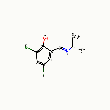 CC(C)[C@H](N=Cc1cc(Br)cc(Br)c1O)C(=O)O